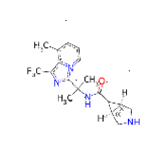 Cc1cccn2c(C(C)(C)NC(=O)C3[C@H]4CNC[C@@H]34)nc(C(F)(F)F)c12